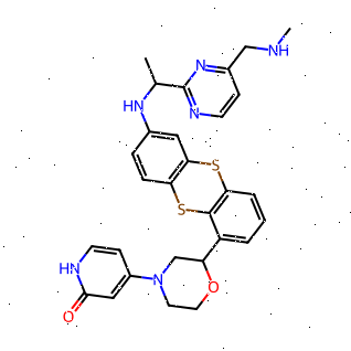 CNCc1ccnc(C(C)Nc2ccc3c(c2)Sc2cccc(C4CN(c5cc[nH]c(=O)c5)CCO4)c2S3)n1